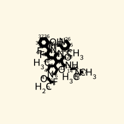 C=C(F)C(=O)N1CCC(c2c(C(=O)NCCN(C)C)c(=O)n(-c3c(C)ccnc3C(C)C)c3nc(-c4c(O)cccc4F)c(F)cc23)[C@@H](C)C1